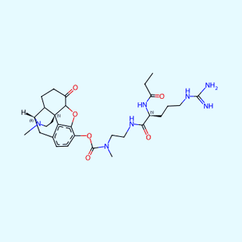 CCC(=O)N[C@@H](CCCNC(=N)N)C(=O)NCCN(C)C(=O)Oc1ccc2c3c1OC1C(=O)CCC4[C@@H](C2)N(C)CC[C@]314